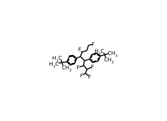 CC(C)(C)c1ccc(C(C(F)CCF)C(c2ccc(C(C)(C)C)cc2)C(F)C(F)C(F)F)cc1